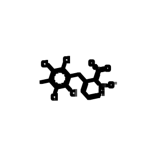 Cc1c(Cl)c(Cl)c(CC2=CC=C[NH+]([O-])C2=S(=O)=O)c(Cl)c1Cl